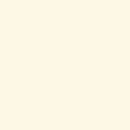 C=CC=C(/C=C\C)C(/C=C\C(C)C)=C/C=C